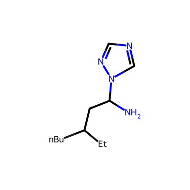 CCCCC(CC)CC(N)n1cncn1